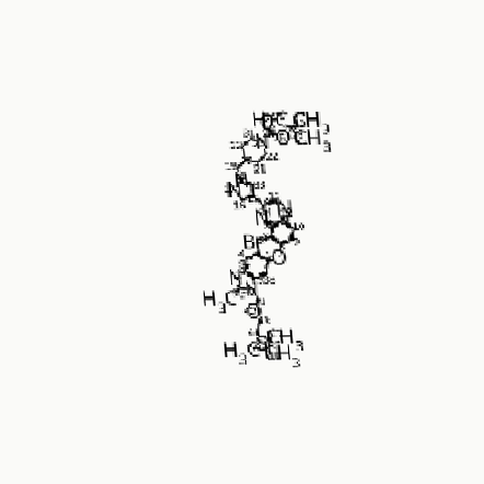 Cc1nc2ccc(Oc3ccc4ncc(-c5cnn(CC6CCN(C(=O)OC(C)(C)C)CC6)c5)nc4c3Br)cc2n1COCC[Si](C)(C)C